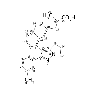 Cc1cccc(-c2nn3c(c2-c2ccnc4ccc(CC(C)C(=O)O)cc24)CCC3)n1